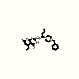 CCC/C(=N\Oc1nc2oc(=O)cc(CC)c2c(=O)[nH]1)N1CCN(Cc2ccccc2)CC1